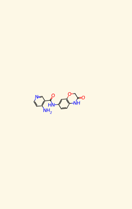 Nc1ccncc1C(=O)Nc1ccc2c(c1)OCC(=O)N2